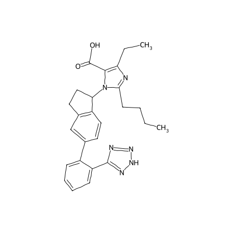 CCCCc1nc(CC)c(C(=O)O)n1C1CCc2cc(-c3ccccc3-c3nn[nH]n3)ccc21